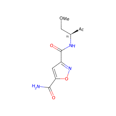 COC[C@H](NC(=O)c1cc(C(N)=O)on1)C(C)=O